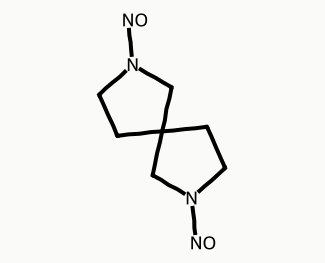 O=NN1CCC2(CCN(N=O)C2)C1